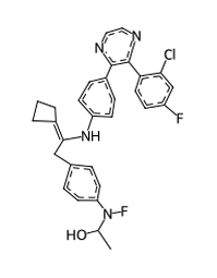 CC(O)N(F)c1ccc(CC(Nc2ccc(-c3nccnc3-c3ccc(F)cc3Cl)cc2)=C2CCC2)cc1